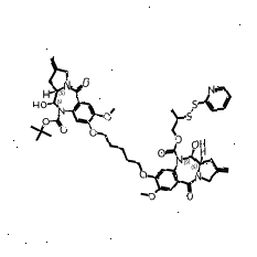 C=C1C[C@H]2[C@H](O)N(C(=O)OCC(C)SSc3ccccn3)c3cc(OCCCCCOc4cc5c(cc4OC)C(=O)N4CC(=C)C[C@H]4[C@H](O)N5C(=O)OC(C)(C)C)c(OC)cc3C(=O)N2C1